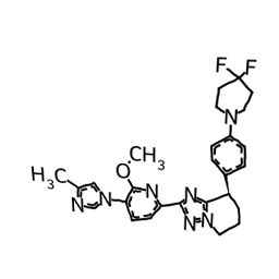 COc1nc(-c2nc3n(n2)CCC[C@@H]3c2ccc(N3CCC(F)(F)CC3)cc2)ccc1-n1cnc(C)c1